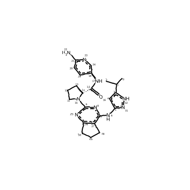 CC(C)c1cc(Nc2nc(N3CCC[C@@H]3C(=O)Nc3ccc(N)nc3)nc3c2CCC3)n[nH]1